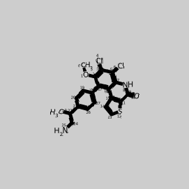 COc1c(Cl)c(Cl)c2[nH]c(=O)c3sccc3c2c1-c1ccc(C(C)CN)cc1